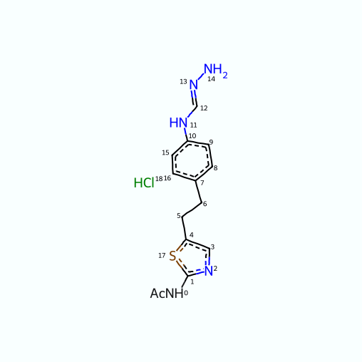 CC(=O)Nc1ncc(CCc2ccc(NC=NN)cc2)s1.Cl